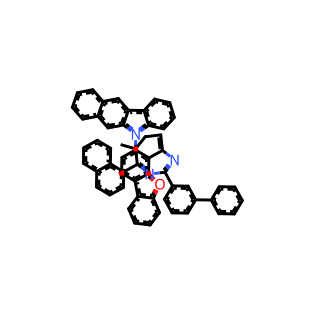 CC1C/C=C(c2c(-n3c4ccccc4c4cc5ccccc5cc43)ccc3c2oc2ccccc23)/N=C(c2cccc(-c3ccccc3)c2)\N=C/1c1cccc2ccccc12